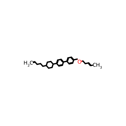 C=CCCCC1CCC(c2ccc(-c3ccc(COCCC=CC)cc3)cc2)CC1